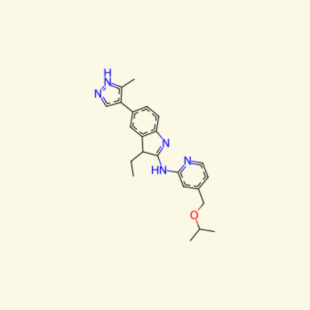 CCC1C(Nc2cc(COC(C)C)ccn2)=Nc2ccc(-c3cn[nH]c3C)cc21